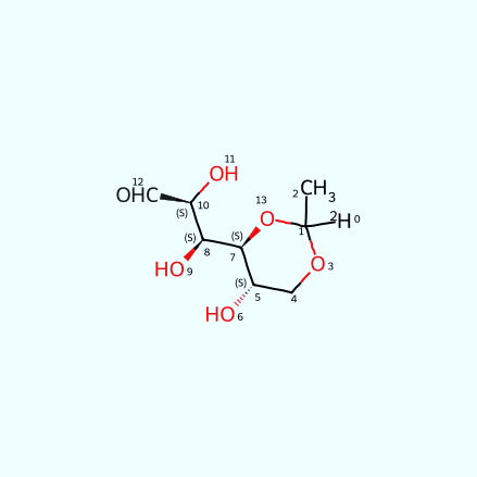 [2H]C1(C)OC[C@H](O)[C@@H]([C@@H](O)[C@H](O)C=O)O1